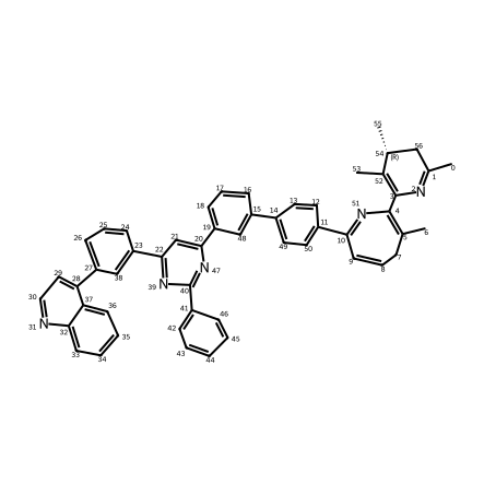 CC1=NC(C2=C(C)CC=CC(c3ccc(-c4cccc(-c5cc(-c6cccc(-c7ccnc8ccccc78)c6)nc(-c6ccccc6)n5)c4)cc3)=N2)=C(C)[C@H](C)C1